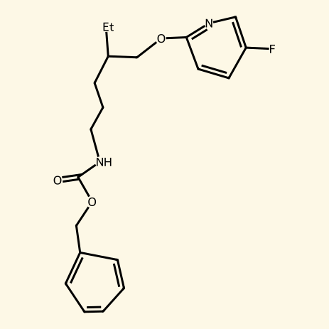 CCC(CCCNC(=O)OCc1ccccc1)COc1ccc(F)cn1